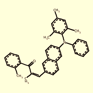 CC(=Cc1ccc2cc(N(c3ccccc3)c3c(C)cc(C)cc3C)ccc2c1)C(=O)c1ccccc1C